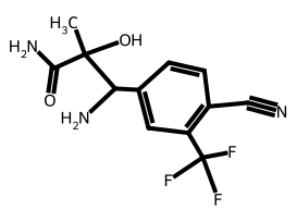 CC(O)(C(N)=O)C(N)c1ccc(C#N)c(C(F)(F)F)c1